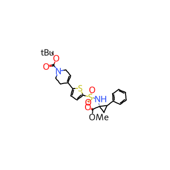 COC(=O)[C@]1(NS(=O)(=O)c2ccc(C3=CCN(C(=O)OC(C)(C)C)CC3)s2)CC1c1ccccc1